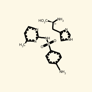 Cc1ccnc(NS(=O)(=O)c2ccc(N)cc2)n1.N[C@@H](Cc1c[nH]cn1)C(=O)O